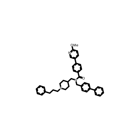 COc1ccc(-c2ccc(C(=O)N(Cc3ccc(-c4ccccc4)cc3)CC3CCN(CCCc4ccccc4)CC3)cc2)cn1